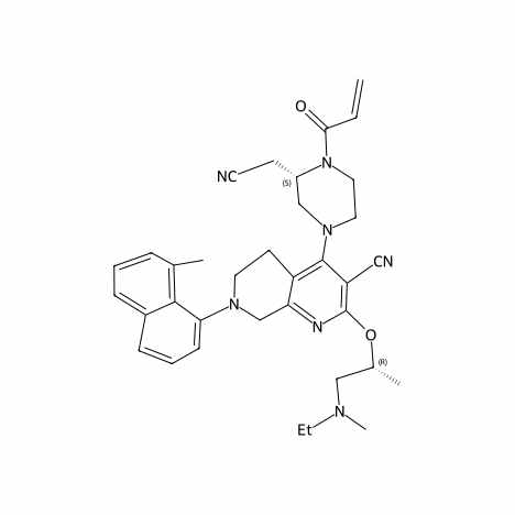 C=CC(=O)N1CCN(c2c(C#N)c(O[C@H](C)CN(C)CC)nc3c2CCN(c2cccc4cccc(C)c24)C3)C[C@@H]1CC#N